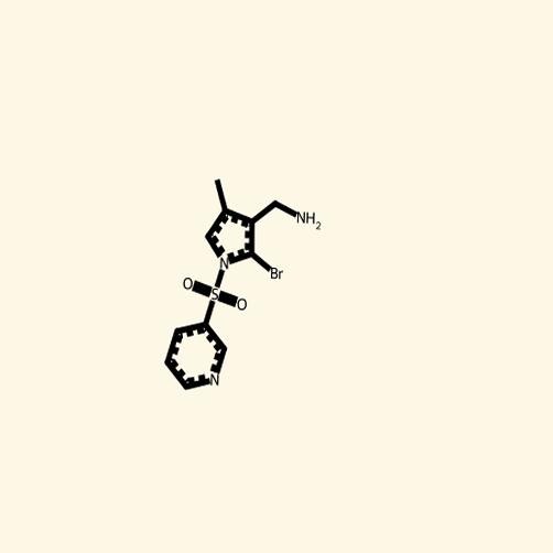 Cc1cn(S(=O)(=O)c2cccnc2)c(Br)c1CN